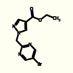 CCOC(=O)c1cnn(Cc2ncc(Br)cn2)c1